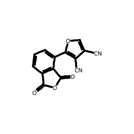 N#Cc1coc(-c2cccc3c2C(=O)OC3=O)c1C#N